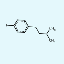 CC(C)CCc1ccc(I)cc1